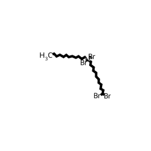 CCCCCCCCCCCC[N+](Br)(Br)CCCCCCCCCCCC(Br)Br